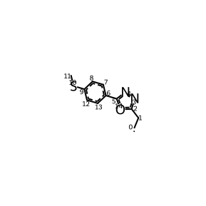 [CH2]Cc1nnc(-c2ccc(SC)cc2)o1